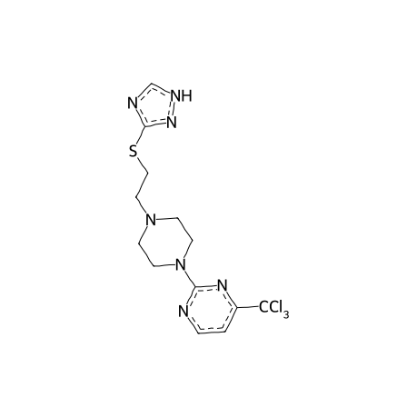 ClC(Cl)(Cl)c1ccnc(N2CCN(CCSc3nc[nH]n3)CC2)n1